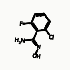 NC(=NO)c1c(F)cccc1Cl